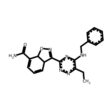 CCc1nnc(C2=NOC3C(C(N)=O)=CC=CC23)nc1NCc1ccccc1